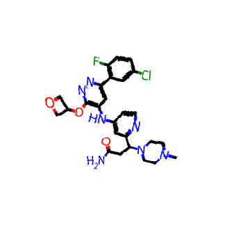 CN1CCN(C(CC(N)=O)c2cc(Nc3cc(-c4cc(Cl)ccc4F)nnc3OC3COC3)ccn2)CC1